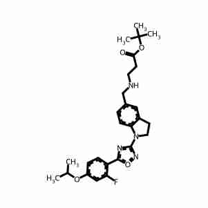 CC(C)Oc1ccc(-c2nc(N3CCc4cc(CNCCC(=O)OC(C)(C)C)ccc43)no2)c(F)c1